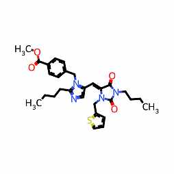 CCCCc1ncc(/C=C2/C(=O)N(CCCC)C(=O)N2Cc2cccs2)n1Cc1ccc(C(=O)OC)cc1